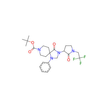 CC(C)(C)OC(=O)N1CCC2(CC1)C(=O)N(C1CCN(CC(F)(F)F)C1=O)CN2c1ccccc1